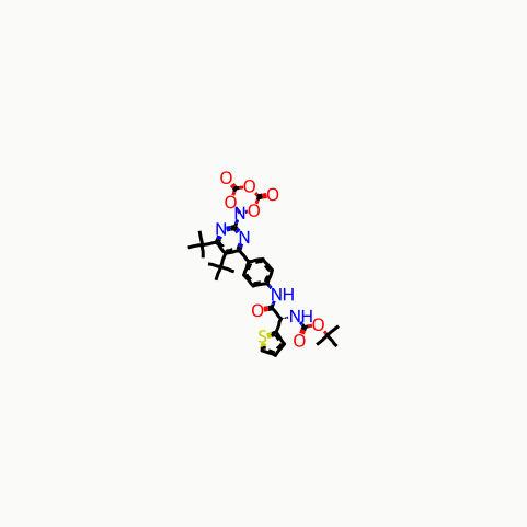 CC(C)(C)OC(=O)N[C@@H](C(=O)Nc1ccc(-c2nc(N3OC(=O)OC(=O)O3)nc(C(C)(C)C)c2C(C)(C)C)cc1)c1cccs1